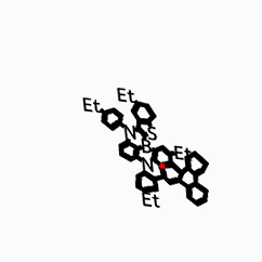 CCc1ccc(N2c3cccc4c3B(c3cc(CC)ccc3N4c3ccc(CC)cc3-c3ccc4c5ccccc5c5ccccc5c4c3)c3sc4ccc(CC)cc4c32)cc1